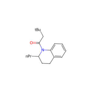 CCCC1CCc2ccccc2N1C(=O)CC(C)(C)C